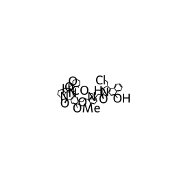 COc1cc2c(cc1OCc1cccc(CC(=O)N3C[C@@H](CCl)c4c3cc(O)c3ccccc43)n1)N(C(=O)O)C(OC1CCCCO1)[C@@H]1CCCCN1C2=O